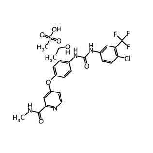 CCO.CNC(=O)c1cc(Oc2ccc(NC(=O)Nc3ccc(Cl)c(C(F)(F)F)c3)cc2)ccn1.CS(=O)(=O)O